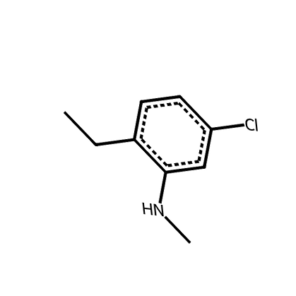 CCc1ccc(Cl)cc1NC